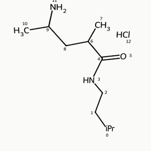 CC(C)CCNC(=O)C(C)CC(C)N.Cl